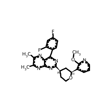 COc1ncccc1[C@@H]1C[C@H](c2nc(-c3ccc(F)cc3F)c3nc(C)c(C)nc3n2)CCO1